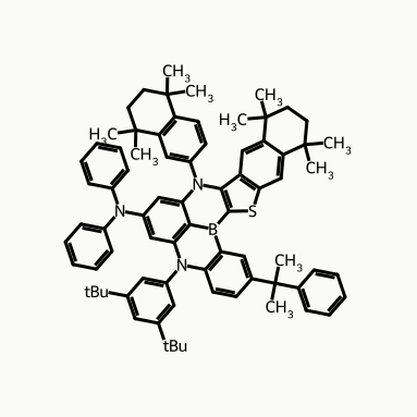 CC(C)(C)c1cc(N2c3ccc(C(C)(C)c4ccccc4)cc3B3c4sc5cc6c(cc5c4N(c4ccc5c(c4)C(C)(C)CCC5(C)C)c4cc(N(c5ccccc5)c5ccccc5)cc2c43)C(C)(C)CCC6(C)C)cc(C(C)(C)C)c1